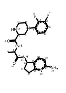 CC(NC(=O)C1CN(c2cccc(F)c2F)CCN1)C(=O)NC1CCc2nc(N)ccc21